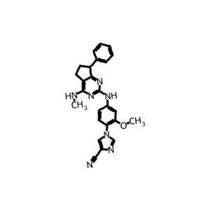 CNc1nc(Nc2ccc(-n3cnc(C#N)c3)c(OC)c2)nc2c1CCC2c1ccccc1